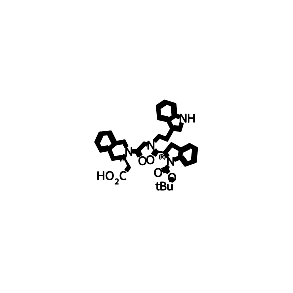 CC(C)(C)OC(=O)N1c2ccccc2C[C@@H]1C(=O)N(CCc1c[nH]c2ccccc12)CC(=O)N1Cc2ccccc2C[C@@H]1CC(=O)O